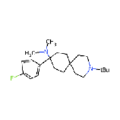 CN(C)C1(c2ccc(F)cc2)CCC2(CCN(C(C)(C)C)CC2)CC1